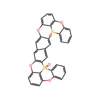 O=P12c3ccccc3Oc3cccc(c31)Oc1cc3cc4c(cc3cc12)P1(=O)c2ccccc2Oc2cccc(c21)O4